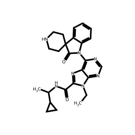 CCn1c(C(=O)NC(C)C2CC2)nc2c(N3C(=O)C4(CCNCC4)c4ccccc43)ncnc21